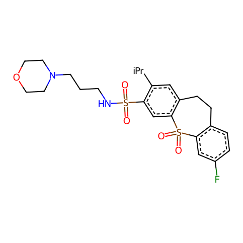 CC(C)c1cc2c(cc1S(=O)(=O)NCCCN1CCOCC1)S(=O)(=O)c1cc(F)ccc1CC2